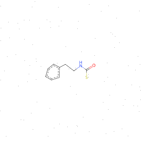 O=C([S])NCCc1ccccc1